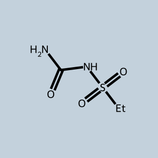 CCS(=O)(=O)NC(N)=O